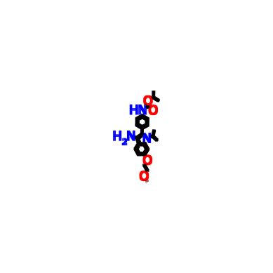 COCCOc1ccc2c(N)c(-c3ccc(NC(=O)OC(C)C)cc3)n(C(C)C)c2c1